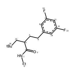 CCNC(=O)C(CCc1cc(F)cc(F)c1)CC(C)(C)C